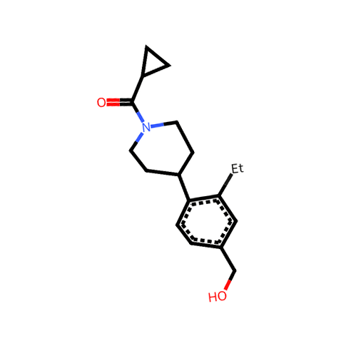 CCc1cc(CO)ccc1C1CCN(C(=O)C2CC2)CC1